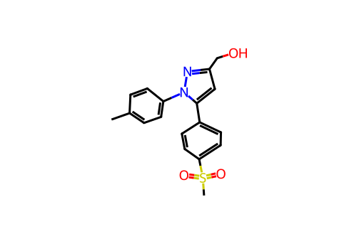 Cc1ccc(-n2nc(CO)cc2-c2ccc(S(C)(=O)=O)cc2)cc1